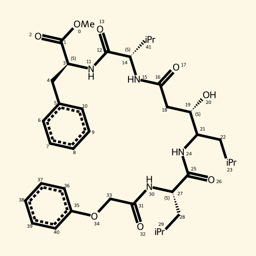 COC(=O)[C@H](Cc1ccccc1)NC(=O)[C@@H](NC(=O)C[C@H](O)C(CC(C)C)NC(=O)[C@H](CC(C)C)NC(=O)COc1ccccc1)C(C)C